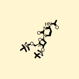 CC(=O)Nc1ccn([C@H]2CC(O[Si](C)(C)C(C)(C)C)[C@@H](CO[Si](C)(C)C(C)(C)C)O2)c(=O)n1